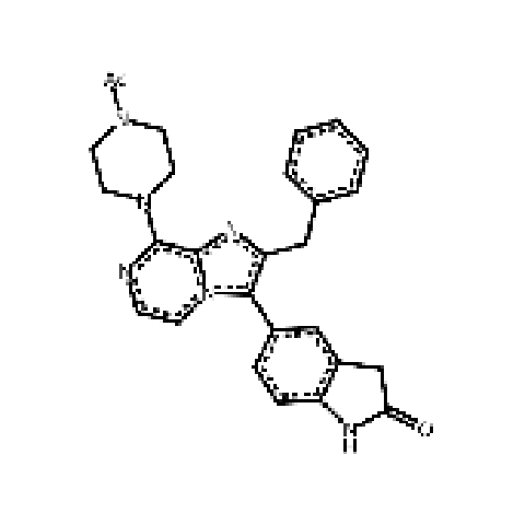 CC(=O)N1CCN(c2nccn3c(-c4ccc5c(c4)CC(=O)N5)c(Cc4ccccc4)nc23)CC1